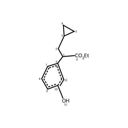 CCOC(=O)C(CC1CC1)c1cccc(O)c1